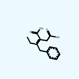 CCC(Cc1ccccc1)=C(CC(=O)O)C(=O)O